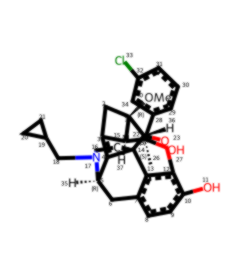 CO[C@@]12CC(=C3[C@H]4Cc5ccc(O)c6c5[C@@]3(CCN4CC3CC3)[C@H]1O6)[C@@H]2[C@](C)(O)c1cccc(Cl)c1